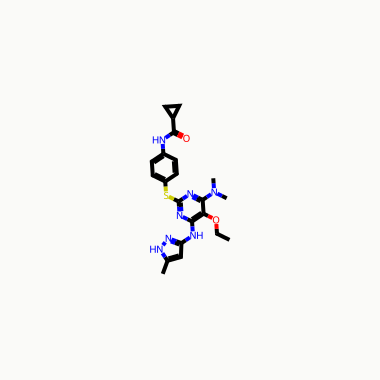 CCOc1c(Nc2cc(C)[nH]n2)nc(Sc2ccc(NC(=O)C3CC3)cc2)nc1N(C)C